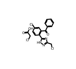 O=C(O)CCl.O=C(c1ccccc1)c1cc(Cl)ccc1-c1nc(CCl)n[nH]1